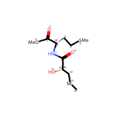 COC(=O)[C@H](CCSC)NC(=O)[C@@H](O)C[Se]C